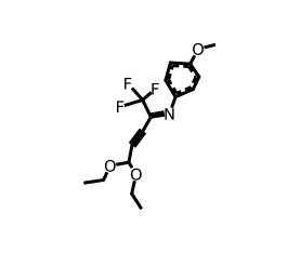 CCOC(C#CC(=Nc1ccc(OC)cc1)C(F)(F)F)OCC